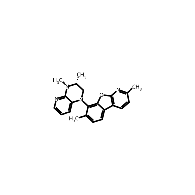 Cc1ccc2c(n1)oc1c(N3C[C@@H](C)N(C)c4ncccc43)c(C)ccc12